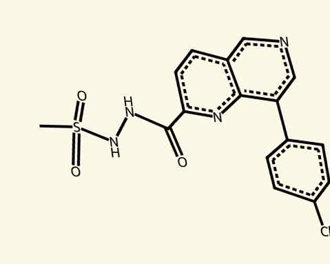 CS(=O)(=O)NNC(=O)c1ccc2cncc(-c3ccc(Cl)cc3)c2n1